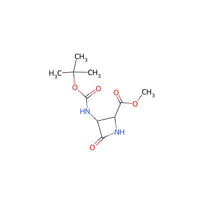 COC(=O)C1NC(=O)C1NC(=O)OC(C)(C)C